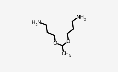 CC(OCCCN)OCCCN